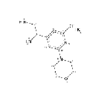 Cl.NCC(N)c1cc(Cl)nc(N2CCOCC2)n1